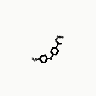 CON=C(C)c1ccc(Oc2ccc(N)cc2)cc1